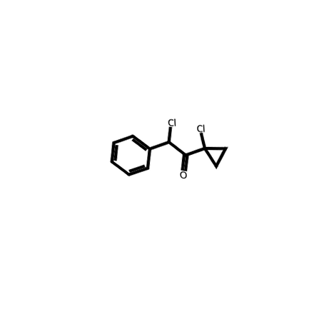 O=C(C(Cl)c1ccccc1)C1(Cl)CC1